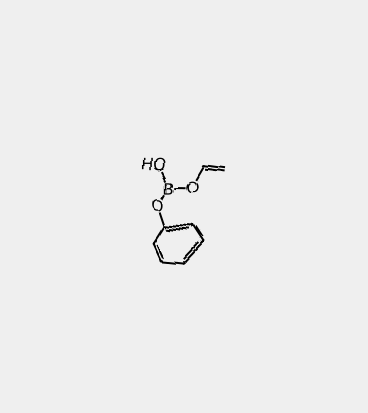 C=COB(O)Oc1ccccc1